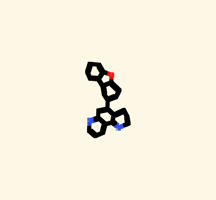 c1ccc2c(c1)oc1ccc(-c3cc4ncccc4c4ncccc34)cc12